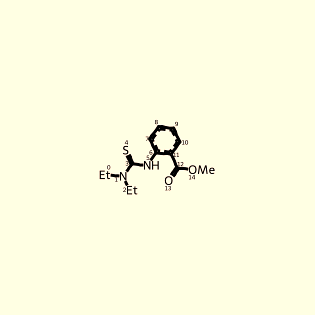 CCN(CC)C(=S)Nc1ccccc1C(=O)OC